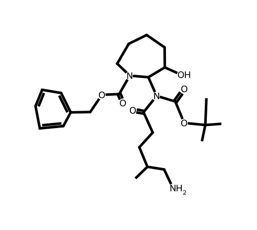 CC(CN)CCC(=O)N(C(=O)OC(C)(C)C)C1C(O)CCCCN1C(=O)OCc1ccccc1